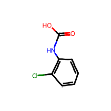 O=C(O)Nc1ccc[c]c1Cl